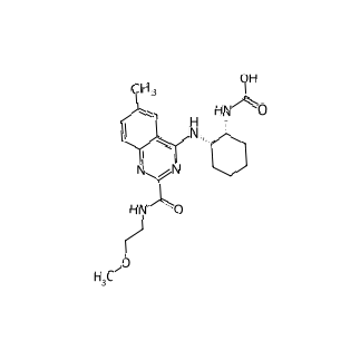 COCCNC(=O)c1nc(N[C@H]2CCCC[C@H]2NC(=O)O)c2cc(C)ccc2n1